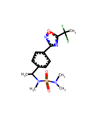 CC(c1ccc(-c2noc(C(C)(F)F)n2)cc1)N(C)S(=O)(=O)N(C)C